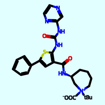 CC(C)(C)[N+]1(C(=O)[O-])CCCC[C@H](NC(=O)c2cc(-c3ccccc3)sc2NC(=O)Nc2cnccn2)C1